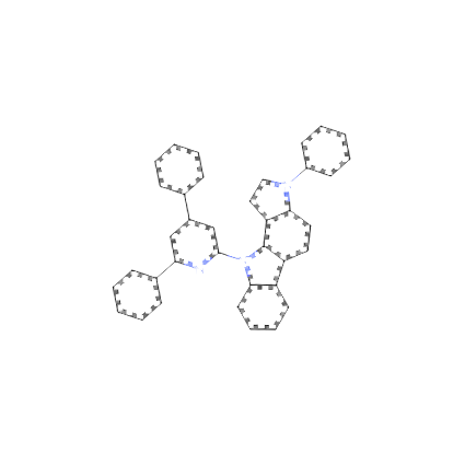 c1ccc(-c2cc(-c3ccccc3)nc(-n3c4ccccc4c4ccc5c(ccn5-c5ccccc5)c43)c2)cc1